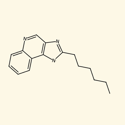 CCCCCCC1=Nc2cnc3ccccc3c2[N]1